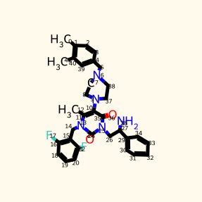 Cc1ccc(CN2CCN(c3c(C)n(Cc4c(F)cccc4F)c(=O)n(CC(N)c4ccccc4)c3=O)CC2)cc1C